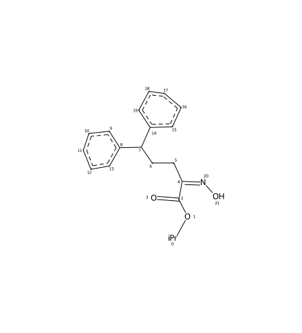 CC(C)OC(=O)/C(CCC(c1ccccc1)c1ccccc1)=N\O